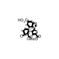 COC(=O)c1sc(-n2cnc3cc(C(=O)O)ccc32)cc1O[C@H](C)c1ccccc1Cl